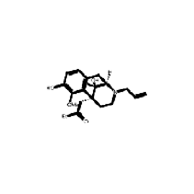 C=CCN1CC[C@@]2(CC(=O)CC)c3c(ccc(O)c3OC)C[C@@H]1[C@@]2(C)O